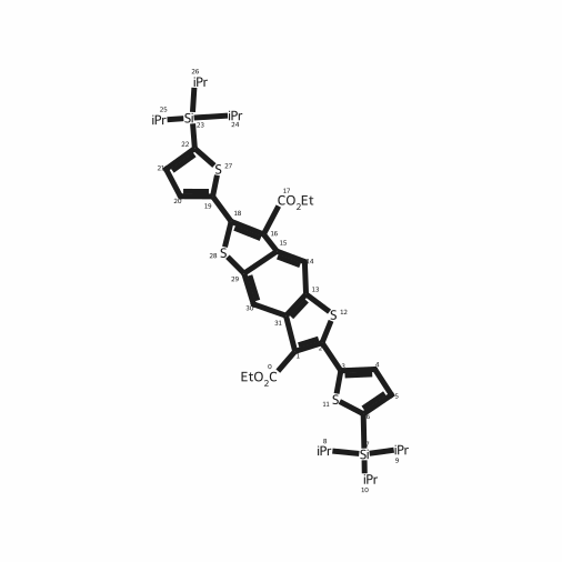 CCOC(=O)c1c(-c2ccc([Si](C(C)C)(C(C)C)C(C)C)s2)sc2cc3c(C(=O)OCC)c(-c4ccc([Si](C(C)C)(C(C)C)C(C)C)s4)sc3cc12